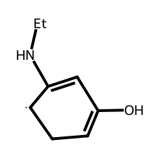 CCNC1=CC(O)=CC[CH]1